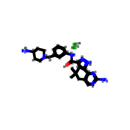 CC1(C)Cc2cnc(N)nc2-c2[nH]nc(C(=O)Nc3cccc(CN4CCC(N)CC4)c3)c21.Cl.Cl